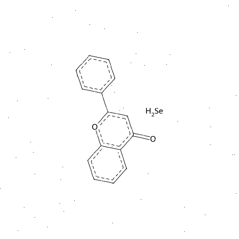 O=c1cc(-c2ccccc2)oc2ccccc12.[SeH2]